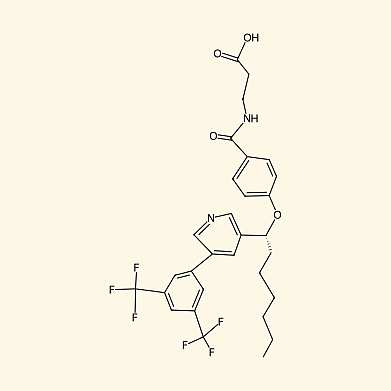 CCCCCC[C@@H](Oc1ccc(C(=O)NCCC(=O)O)cc1)c1cncc(-c2cc(C(F)(F)F)cc(C(F)(F)F)c2)c1